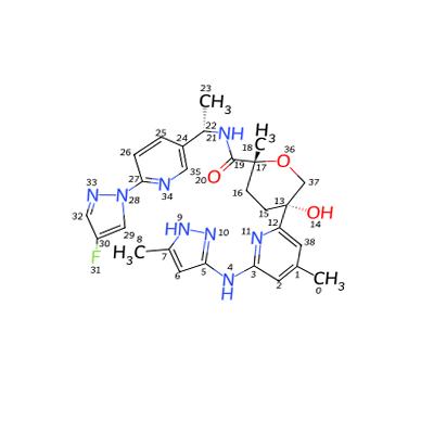 Cc1cc(Nc2cc(C)[nH]n2)nc([C@@]2(O)CC[C@](C)(C(=O)N[C@@H](C)c3ccc(-n4cc(F)cn4)nc3)OC2)c1